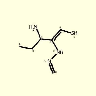 C=NN/C(=C\S)C(N)CC